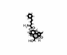 CC1=C[C@H]2[C@@]3(O)[C@H](C)C[C@@](C)(OC(=O)[C@@H](N)C/C=C/c4ccccc4)C(C)(C)[C@@H]3C=C(CO)C[C@]2(O)C1=O